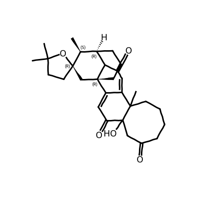 C[C@H]1[C@H]2CCC[C@]3(C[C@]14CCC(C)(C)O4)C1=CC(=O)C4(O)CC(=O)CCCCC4(C)C1=CC(=O)C23